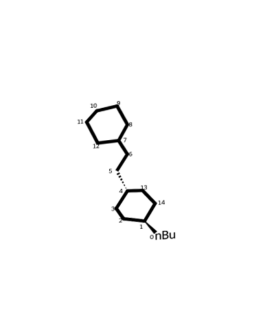 CCCC[C@H]1CC[C@H](CCC2CCCCC2)CC1